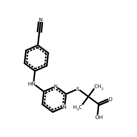 CC(C)(Sc1nccc(Nc2ccc(C#N)cc2)n1)C(=O)O